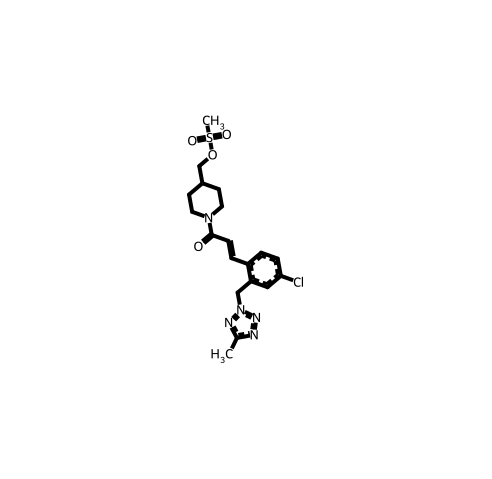 Cc1nnn(Cc2cc(Cl)ccc2C=CC(=O)N2CCC(COS(C)(=O)=O)CC2)n1